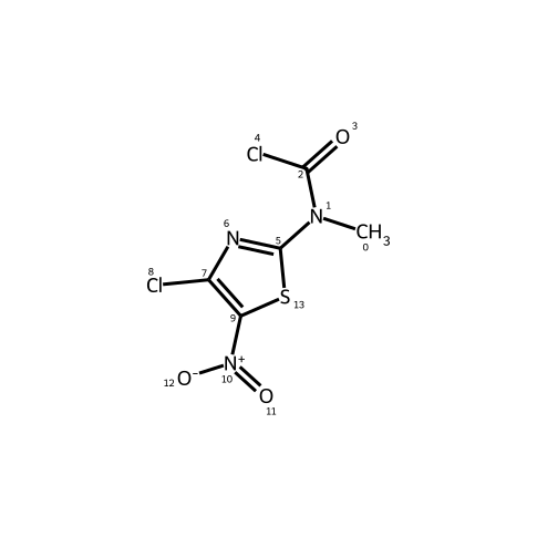 CN(C(=O)Cl)c1nc(Cl)c([N+](=O)[O-])s1